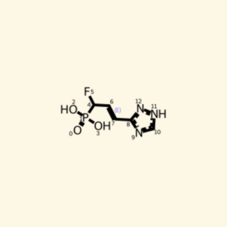 O=P(O)(O)C(F)/C=C/c1nc[nH]n1